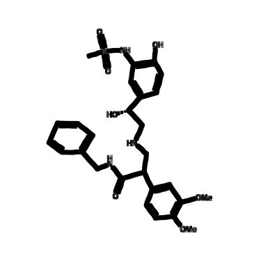 COc1ccc(C(CNC[C@H](O)c2ccc(O)c(NS(C)(=O)=O)c2)C(=O)NCc2ccccc2)cc1OC